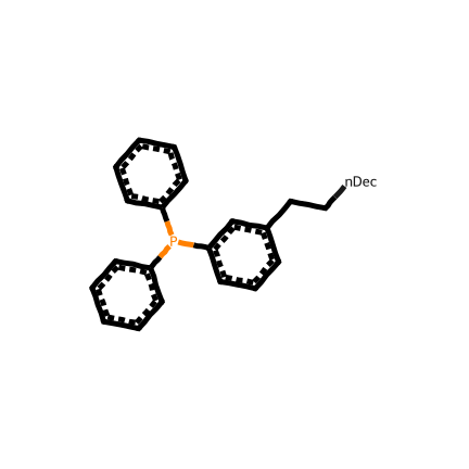 CCCCCCCCCCCCc1cccc(P(c2ccccc2)c2ccccc2)c1